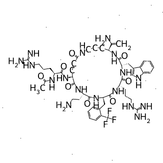 C=C(N)[C@@H]1CCCNC(=O)CC[C@H](NC(=O)[C@H](CCCNC(=N)N)NC(C)=O)C(=O)N[C@@H](CCN)C(=O)N[C@H](Cc2ccccc2C(F)(F)F)C(=O)N[C@@H](CCCNC(=N)N)C(=O)N[C@@H](Cc2c[nH]c3ccccc23)C(=O)N1